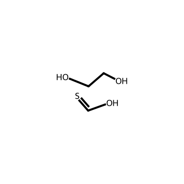 OC=S.OCCO